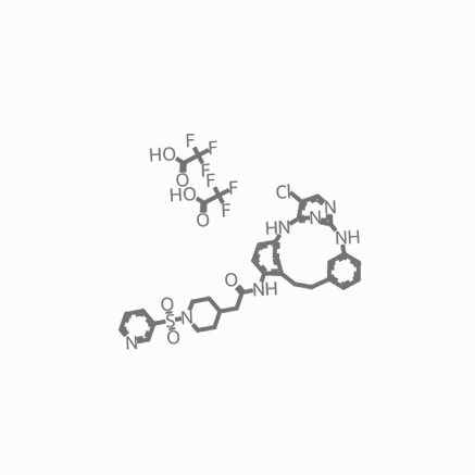 O=C(CC1CCN(S(=O)(=O)c2cccnc2)CC1)Nc1ccc2cc1CCc1cccc(c1)Nc1ncc(Cl)c(n1)N2.O=C(O)C(F)(F)F.O=C(O)C(F)(F)F